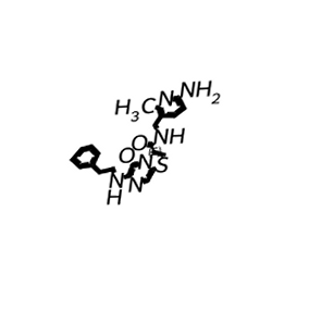 Cc1nc(N)ccc1CNC(=O)[C@H]1CSc2cnc(NCCc3ccccc3)c(=O)n21